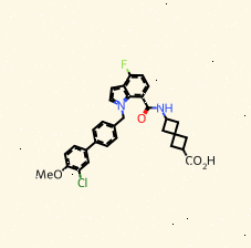 COc1ccc(-c2ccc(Cn3ccc4c(F)ccc(C(=O)NC5CC6(C5)CC(C(=O)O)C6)c43)cc2)cc1Cl